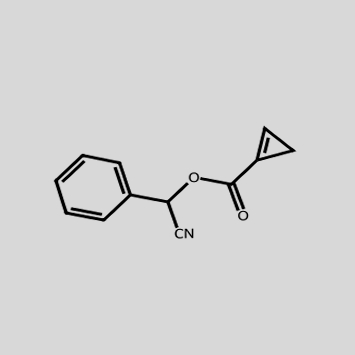 N#CC(OC(=O)C1=CC1)c1ccccc1